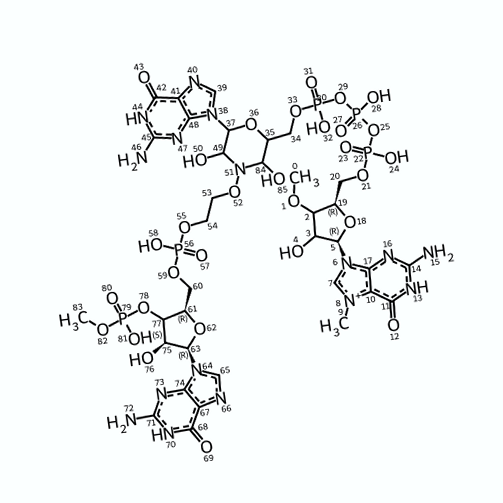 COC1C(O)[C@H](n2c[n+](C)c3c(=O)[nH]c(N)nc32)O[C@@H]1COP(=O)(O)OP(=O)(O)OP(=O)(O)OCC1OC(n2cnc3c(=O)[nH]c(N)nc32)C(O)N(OCCOP(=O)(O)OC[C@H]2O[C@@H](n3cnc4c(=O)[nH]c(N)nc43)[C@@H](O)C2OP(=O)(O)OC)C1O